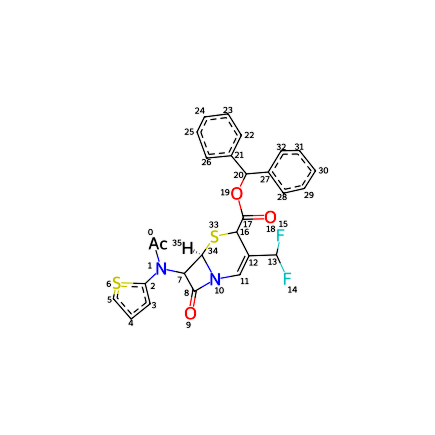 CC(=O)N(c1cccs1)C1C(=O)N2C=C(C(F)F)C(C(=O)OC(c3ccccc3)c3ccccc3)S[C@H]12